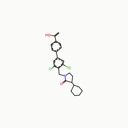 C=C(O)c1ccc(-c2cc(Cl)c(CN3CCC(C4CCCCC4)C3=O)c(Cl)c2)cc1